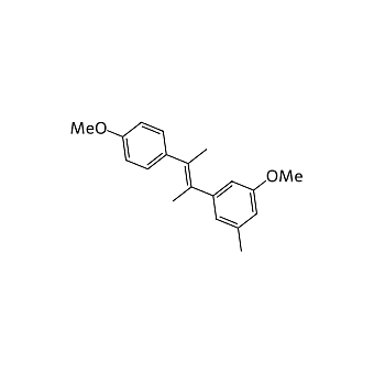 COc1ccc(/C(C)=C(\C)c2cc(C)cc(OC)c2)cc1